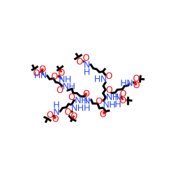 CC(=O)C(CCCCNC(=O)C(CCCCNC(=O)C(CCCCNC(=O)OC(C)(C)C)NC(=O)OC(C)(C)C)NC(=O)C(CCCCNC(=O)OC(C)(C)C)NC(=O)OC(C)(C)C)NC(=O)C(CCCCNC(=O)C(C)CCCCNC(=O)OC(C)(C)C)NC(=O)C(CCCCNC(=O)OC(C)(C)C)NC(=O)OC(C)(C)C